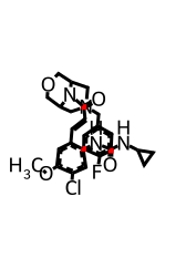 COc1cc(/C=C/C(=O)N2C3COCC2CN(Cc2ccc(F)cc2)C3)c(NC(=O)NC2CC2)cc1Cl